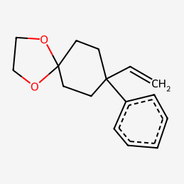 C=CC1(c2ccccc2)CCC2(CC1)OCCO2